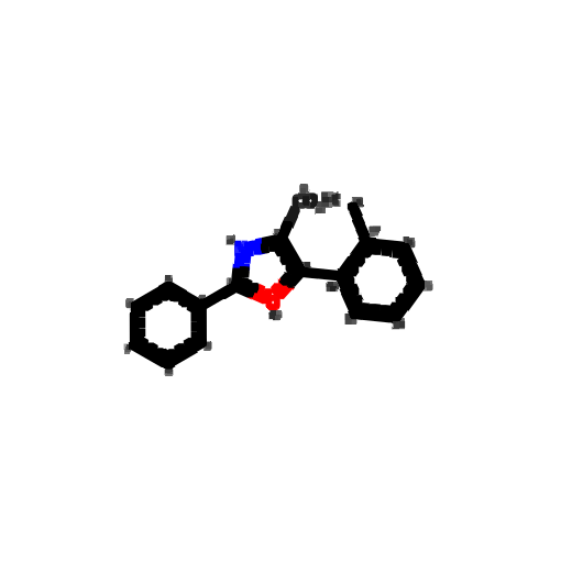 CCOC(=O)c1nc(-c2ccccc2)oc1-c1ccccc1C